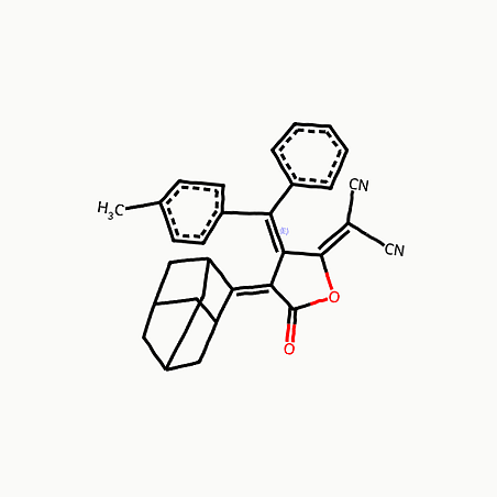 Cc1ccc(/C(=C2/C(=C(C#N)C#N)OC(=O)C2=C2C3CC4CC(C3)CC2C4)c2ccccc2)cc1